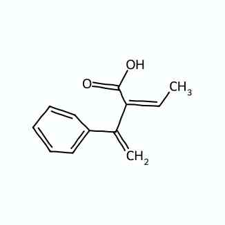 C=C(C(=CC)C(=O)O)c1ccccc1